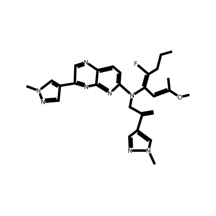 C=C(CN(C(/C=C(\C)OC)=C(\F)CCC)c1ccc2ncc(-c3cnn(C)c3)nc2n1)c1cnn(C)c1